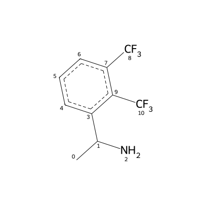 CC(N)c1cccc(C(F)(F)F)c1C(F)(F)F